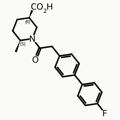 C[C@H]1CC[C@@H](C(=O)O)CN1C(=O)Cc1ccc(-c2ccc(F)cc2)cc1